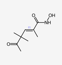 CC(=O)C(C)(C)/C=C(\C)C(=O)NO